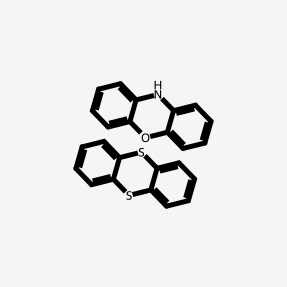 c1ccc2c(c1)Nc1ccccc1O2.c1ccc2c(c1)Sc1ccccc1S2